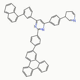 C1=CN=CC(c2ccc(-c3cc(-c4cccc(-c5cccc6ccccc56)c4)nc(-c4ccc(-c5ccc6c7ccccc7c7ccccc7c6c5)cc4)n3)cc2)C1